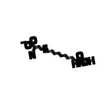 CCOC(=O)C(C#N)=CCSCCCCCCCCCC(=O)NO